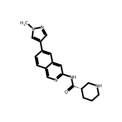 Cn1cc(-c2ccc3cnc(NC(=O)[C@H]4CCCNC4)cc3c2)cn1